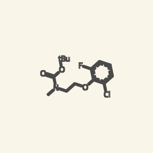 CN(CCOc1c(F)cccc1Cl)C(=O)OC(C)(C)C